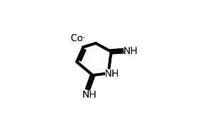 N=C1C=CCC(=N)N1.[Co]